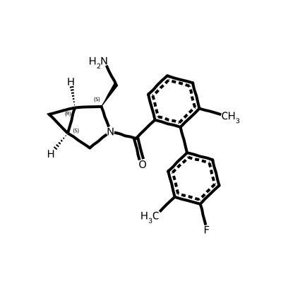 Cc1cc(-c2c(C)cccc2C(=O)N2C[C@H]3C[C@H]3[C@H]2CN)ccc1F